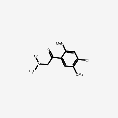 CNc1cc(Cl)c(OC)cc1C(=O)C[S+](C)[O-]